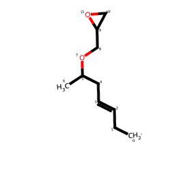 [CH2]CC=CCC(C)OCC1CO1